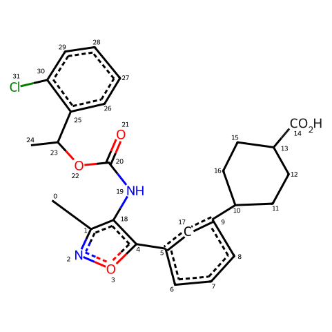 Cc1noc(-c2cccc(C3CCC(C(=O)O)CC3)c2)c1NC(=O)OC(C)c1ccccc1Cl